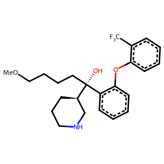 COCCCC[C@@](O)(c1ccccc1Oc1ccccc1C(F)(F)F)[C@@H]1CCCNC1